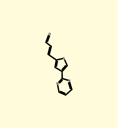 O=CC=Cc1cc(-c2ncccn2)cs1